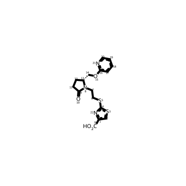 O=C(O)c1csc(SCCN2C(=O)CC[C@@H]2COc2ccccn2)n1